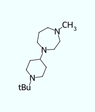 CN1CCCN(C2CCN(C(C)(C)C)CC2)CC1